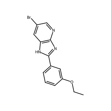 CCOc1cccc(-c2nc3ncc(Br)cc3[nH]2)c1